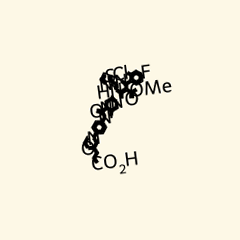 COC(=O)C1=C(CN2CCN3C(=O)N(c4ccc(N5CCOC(CCC(=O)O)C5)cc4)CC3C2)NC(c2nccs2)=NC1c1ccc(F)cc1Cl